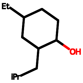 CCC1CCC(O)C(CC(C)C)C1